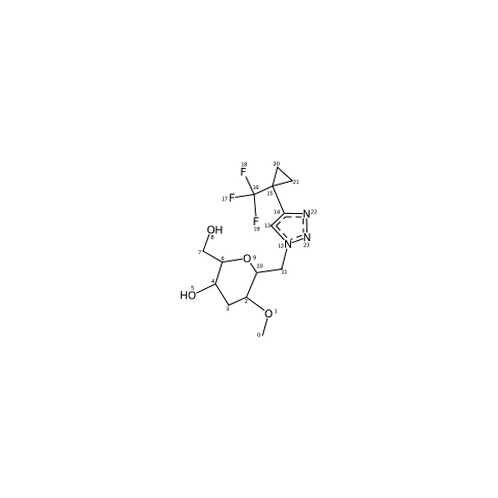 COC1CC(O)C(CO)OC1Cn1cc(C2(C(F)(F)F)CC2)nn1